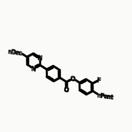 CCCCCCCCCCc1cnc(-c2ccc(C(=O)Oc3ccc(CCCCC)c(F)c3)cc2)nc1